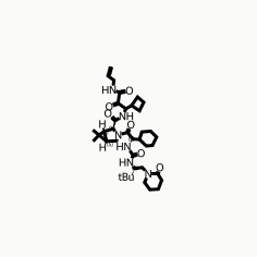 C=CCNC(=O)C(=O)C(NC(=O)[C@@H]1[C@@H]2[C@H](CN1C(=O)[C@@H](NC(=O)N[C@H](CN1CCCCC1=O)C(C)(C)C)C1CCCCC1)C2(C)C)C1CCC1